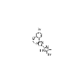 Cc1nc(-c2cn3c(n2)-c2ccc(Br)cc2OCC3)[nH]c1C(C)C